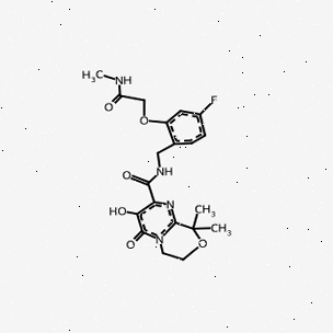 CNC(=O)COc1cc(F)ccc1CNC(=O)c1nc2n(c(=O)c1O)CCOC2(C)C